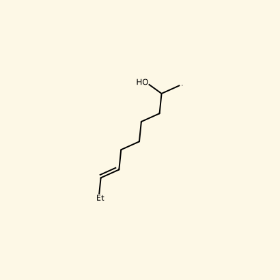 [CH2]C(O)CCCCC=CCC